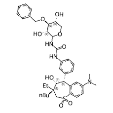 CCCC[C@]1(CC)CS(=O)(=O)c2ccc(N(C)C)cc2[C@@H](c2cccc(NC(=O)NC3OC[C@@H](O)[C@H](OCc4ccccc4)[C@H]3O)c2)[C@H]1O